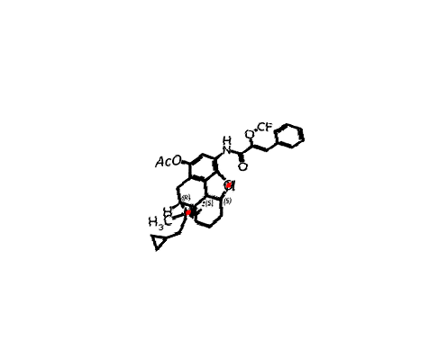 CC(=O)Oc1cc(NC(=O)C(=Cc2ccccc2)OC(F)(F)F)c2c3c1C[C@@H]1[C@@H]4CCC[C@H](O2)[C@]34CC[N+]1(C)CC1CC1